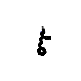 OC(/C=C/I)CCCc1ccccc1